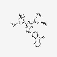 NCCN(CCN)c1nc(Nc2ccc3c(c2)-c2ccccc2C3=O)nc(N2C[C@H](N)C[C@H](N)C2)n1